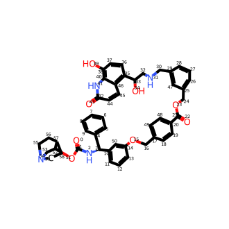 O=C(N[C@@H](c1ccccc1)c1cccc(OCc2ccc(C(=O)OCc3cccc(CNCC(O)c4ccc(O)c5[nH]c(=O)ccc45)c3)cc2)c1)OC1CN2CCC1CC2